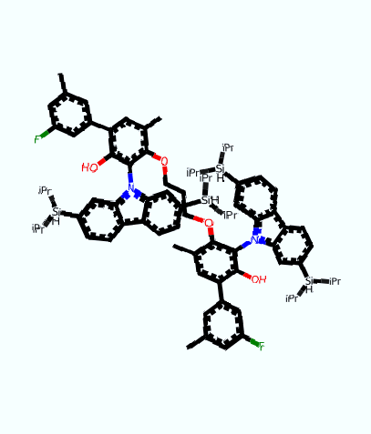 Cc1cc(F)cc(-c2cc(C)c(OCCCOc3c(C)cc(-c4cc(C)cc(F)c4)c(O)c3-n3c4cc([SiH](C(C)C)C(C)C)ccc4c4ccc([SiH](C(C)C)C(C)C)cc43)c(-n3c4cc([SiH](C(C)C)C(C)C)ccc4c4ccc([SiH](C(C)C)C(C)C)cc43)c2O)c1